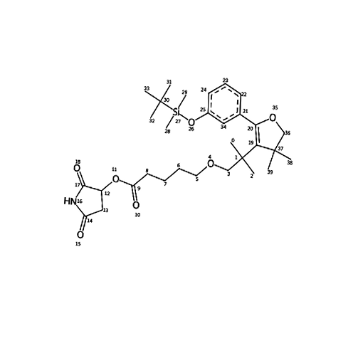 CC(C)(COCCCCC(=O)OC1CC(=O)NC1=O)C1=C(c2cccc(O[Si](C)(C)C(C)(C)C)c2)OCC1(C)C